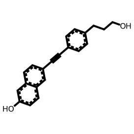 OCCCc1ccc(C#Cc2ccc3cc(O)ccc3c2)cc1